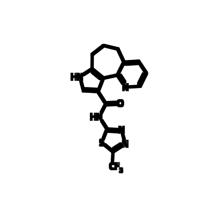 O=C(Nc1nnc(C(F)(F)F)s1)c1c[nH]c2c1-c1ncccc1CCC2